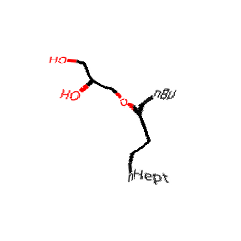 CCCCCCCCCC(CCCC)OCC(O)CO